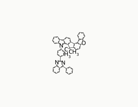 CC1(C)c2ccc3oc4ccccc4c3c2-c2ccc3c4ccccc4n(-c4ccc(-c5nc(-c6ccccc6)c6ccccc6n5)cc4)c3c21